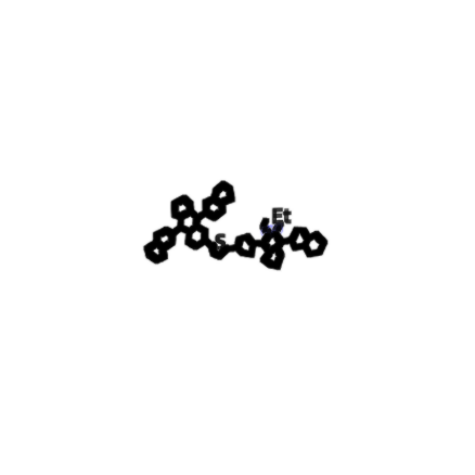 C/C=c1/c(C2=CC=C(c3ccc(C4=CC5=C(c6ccc7ccccc7c6)c6ccccc6C(c6ccc7ccccc7c6)C5C=C4)s3)CC2)c2ccccc2c(C2=CC=C3C=CCCC3C2)/c1=C/CC